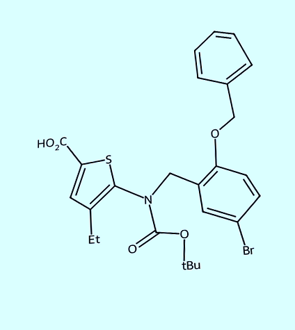 CCc1cc(C(=O)O)sc1N(Cc1cc(Br)ccc1OCc1ccccc1)C(=O)OC(C)(C)C